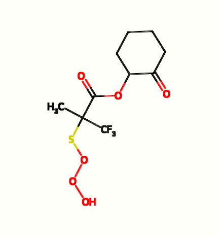 CC(SOOO)(C(=O)OC1CCCCC1=O)C(F)(F)F